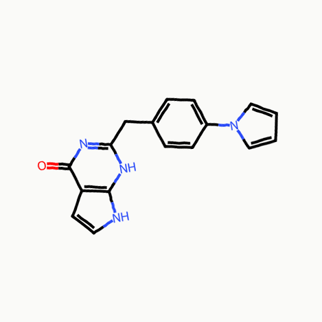 O=c1nc(Cc2ccc(-n3cccc3)cc2)[nH]c2[nH]ccc12